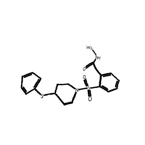 O=C(NO)c1ccccc1S(=O)(=O)N1CCC(Sc2ccccc2)CC1